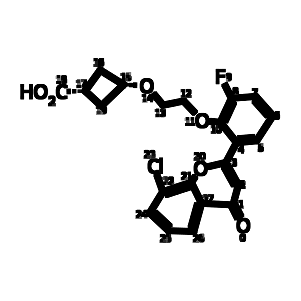 O=c1cc(-c2cccc(F)c2OCCO[C@H]2C[C@@H](C(=O)O)C2)oc2c(Cl)cccc12